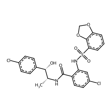 C[C@@H](NC(=O)c1ccc(Cl)cc1NS(=O)(=O)c1cccc2c1OCO2)[C@@H](O)c1ccc(Cl)cc1